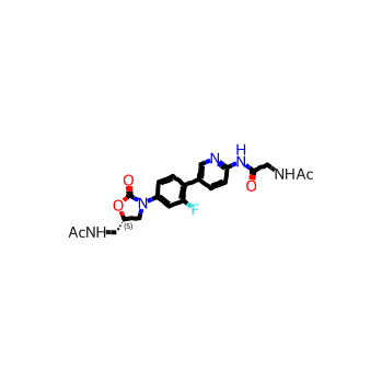 CC(=O)NCC(=O)Nc1ccc(-c2ccc(N3C[C@H](CNC(C)=O)OC3=O)cc2F)cn1